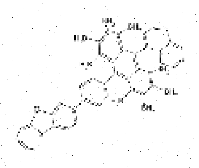 Bc1c(B)c(B)c2c(-c3cccc4ccccc34)c3c(B)c(B)c(B)c(B)c3c(-c3ccc(-c4ccc5c(c4)oc4ccccc45)cc3)c2c1B